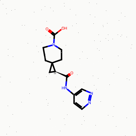 O=C(Nc1ccnnc1)[C@H]1CC12CCN(C(=O)O)CC2